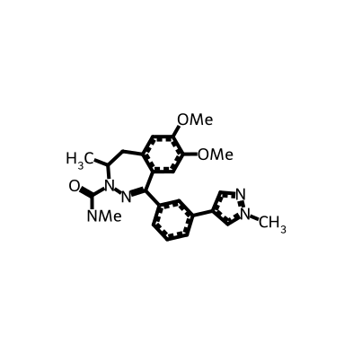 CNC(=O)N1N=C(c2cccc(-c3cnn(C)c3)c2)c2cc(OC)c(OC)cc2CC1C